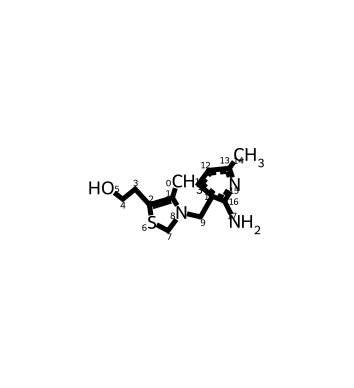 CC1=C(CCO)SCN1Cc1ccc(C)nc1N